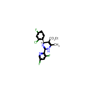 CCOC(=O)C1=C(C)NC(c2ncc(F)cc2F)=N[C@H]1c1ccc(F)cc1Cl